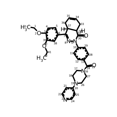 CCOc1ccc(C2=NN(c3ccc(C(=O)N4CCN(c5ccncc5)CC4)cc3)C(=O)[C@@H]3CC=CC[C@H]23)cc1OCC